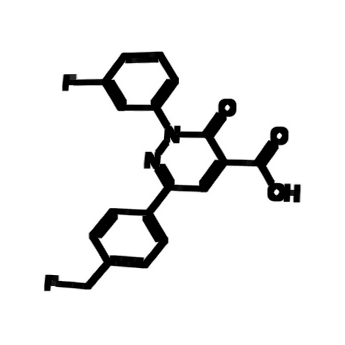 O=C(O)c1cc(-c2ccc(CF)cc2)nn(-c2cccc(F)c2)c1=O